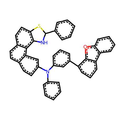 c1ccc(C2Nc3c(ccc4ccc5ccc(N(c6ccccc6)c6cccc(-c7cccc8c7oc7ccccc78)c6)cc5c34)S2)cc1